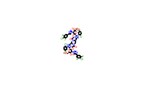 Cc1nc([C@H]2O[C@@H](CO)[C@@H](O)[C@@H](n3cc(-c4cc(F)c(Cl)c(F)c4)nn3)[C@@H]2OCC(=O)N2CCCN(C(=O)CO[C@@H]3[C@@H](n4cc(-c5cc(F)c(Cl)c(F)c5)nn4)[C@@H](O)[C@@H](CO)O[C@H]3c3nc(C)nn3-c3cc(Cl)ccc3Cl)CC2)n(-c2cc(Cl)ccc2Cl)n1